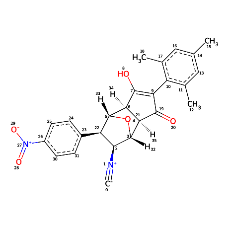 [C-]#[N+][C@@H]1[C@@H]2O[C@@H]([C@H]3C(O)=C(c4c(C)cc(C)cc4C)C(=O)[C@@H]23)[C@@H]1c1ccc([N+](=O)[O-])cc1